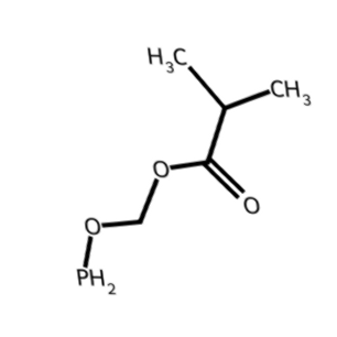 CC(C)C(=O)OCOP